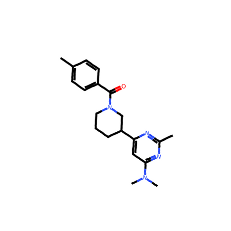 Cc1ccc(C(=O)N2CCCC(c3cc(N(C)C)nc(C)n3)C2)cc1